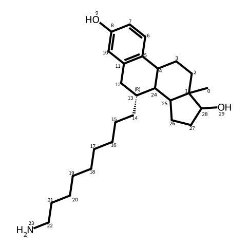 CC12CCC3c4ccc(O)cc4C[C@@H](CCCCCCCCCN)C3C1CCC2O